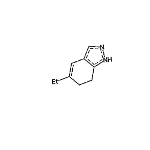 CCC1=Cc2cn[nH]c2CC1